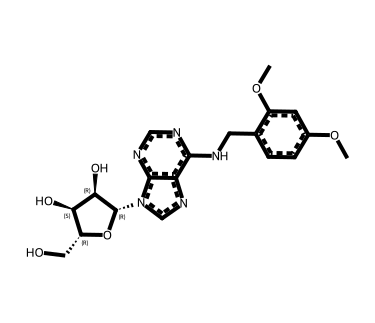 COc1ccc(CNc2ncnc3c2ncn3[C@@H]2O[C@H](CO)[C@@H](O)[C@H]2O)c(OC)c1